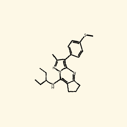 CCC(CC)Nc1c2c(nc3c(-c4ccc(SC)cc4)c(C)nn13)CCC2